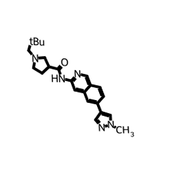 Cn1cc(-c2ccc3cnc(NC(=O)C4CCN(CC(C)(C)C)C4)cc3c2)cn1